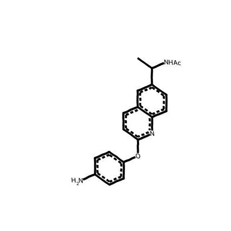 CC(=O)NC(C)c1ccc2nc(Oc3ccc(N)cc3)ccc2c1